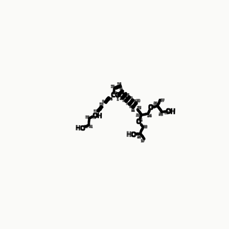 C=C.C=C.C=C.C=C.C=C.C=C.C=C.C=CC(=O)O.CC(O)COC(C)COC(C)CO.OCCO